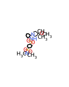 COC(C)C1(C)CCN(c2ccccc2NS(=O)(=O)c2ccc(S(=O)(=O)N(C)C)cc2)CC1